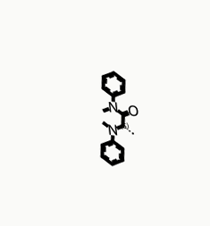 C[C@@H](C(=O)N(C)c1ccccc1)N(C)c1ccccc1